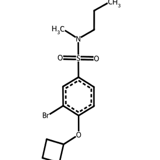 CCCN(C)S(=O)(=O)c1ccc(OC2CCC2)c(Br)c1